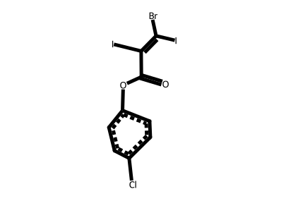 O=C(Oc1ccc(Cl)cc1)/C(I)=C(/Br)I